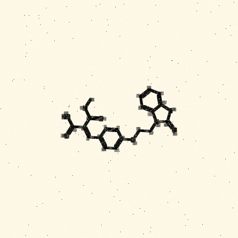 COC(=O)C(=Cc1ccc(OCCn2c(=O)sc3ccccc32)cc1)C(=O)O